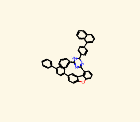 c1ccc(C2=NC(c3cccc4oc5ccc(-c6ccc(-c7ccccc7)cc6)cc5c34)=NC(c3ccc(-c4cccc5ccccc45)cc3)N2)cc1